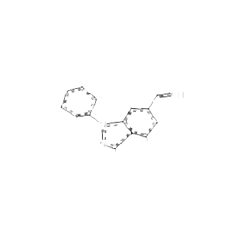 C=Cc1ccc2cnn(-c3ccccc3)c2c1